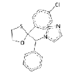 Clc1ccc(C2(C(c3ccccc3)n3ccnc3)OCCS2)cc1